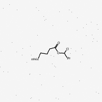 CCCCCCCCCC(=O)OC(Cl)C(C)C